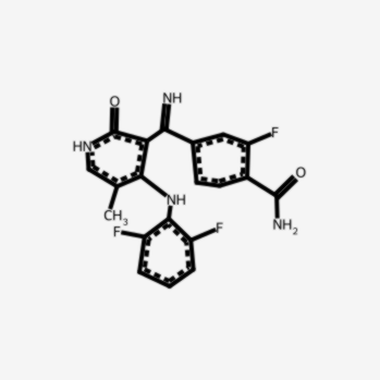 Cc1c[nH]c(=O)c(C(=N)c2ccc(C(N)=O)c(F)c2)c1Nc1c(F)cccc1F